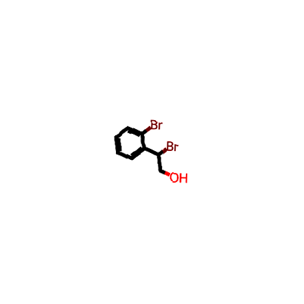 OCC(Br)c1ccccc1Br